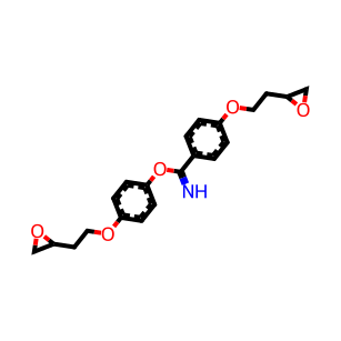 N=C(Oc1ccc(OCCC2CO2)cc1)c1ccc(OCCC2CO2)cc1